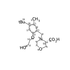 Cc1cc(CN2CCOC[C@H]2C(=O)O)c(OCCO)cc1C(C)(C)C